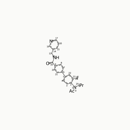 CC(=O)N(c1ccc(-c2ccc(C(=O)NCc3cccnc3)cc2)cc1F)C(C)C